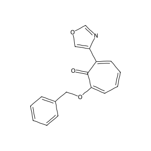 O=c1c(OCc2ccccc2)ccccc1-c1cocn1